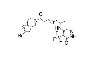 CC(COCCC(=O)N1CCc2sc(Br)cc2C1)Nc1cn[nH]c(=O)c1C(F)(F)F